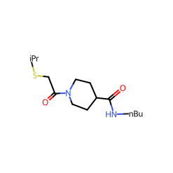 CCCCNC(=O)C1CCN(C(=O)CSC(C)C)CC1